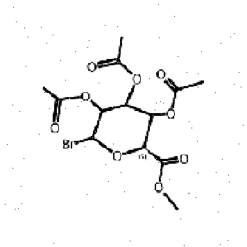 COC(=O)[C@H]1OC(Br)C(OC(C)=O)C(OC(C)=O)C1OC(C)=O